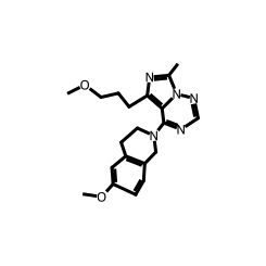 COCCCc1nc(C)n2ncnc(N3CCc4cc(OC)ccc4C3)c12